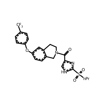 CCCS(=O)(=O)c1nc(C(=O)N2CCc3cc(Oc4ccc(C(F)(F)F)cc4)ccc3C2)c[nH]1